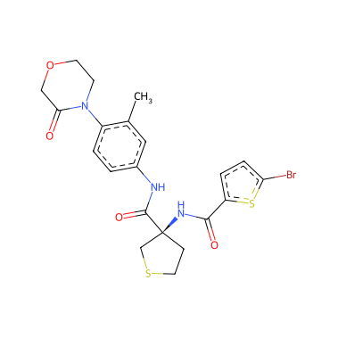 Cc1cc(NC(=O)[C@]2(NC(=O)c3ccc(Br)s3)CCSC2)ccc1N1CCOCC1=O